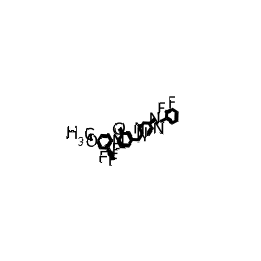 COc1ccc(-n2ccc(Cn3cc4nc(-c5cccc(F)c5F)nc-4cn3)cc2=O)c(C(F)(F)F)c1